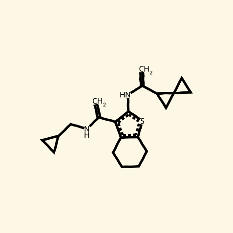 C=C(NCC1CC1)c1c(NC(=C)C2CC23CC3)sc2c1CCCC2